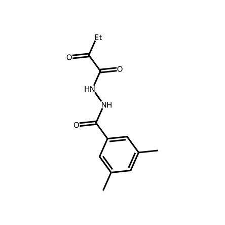 CCC(=O)C(=O)NNC(=O)c1cc(C)cc(C)c1